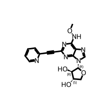 CONc1nc(C#Cc2ccccn2)nc2c1ncn2[C@@H]1OC[C@H](O)[C@H]1O